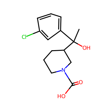 CC(O)(c1cccc(Cl)c1)C1CCCN(C(=O)O)C1